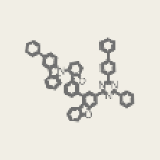 C1=CC(c2ccc3c(c2)c2ccccc2n3-c2cccc3oc4c(-c5cc(-c6nc(-c7ccccc7)nc(-c7ccc(-c8ccccc8)cc7)n6)cc6oc7ccccc7c56)cccc4c23)=CCC1